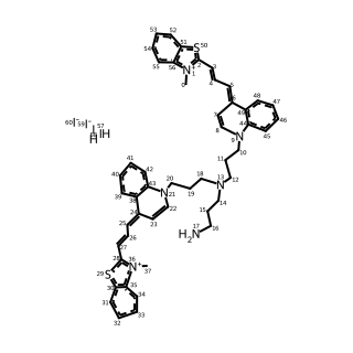 C[n+]1c(C=CC=C2C=CN(CCCN(CCCN)CCCN3C=CC(=CC=Cc4sc5ccccc5[n+]4C)c4ccccc43)c3ccccc32)sc2ccccc21.I.I.[I-].[I-]